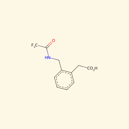 O=C(O)Cc1ccccc1CNC(=O)C(F)(F)F